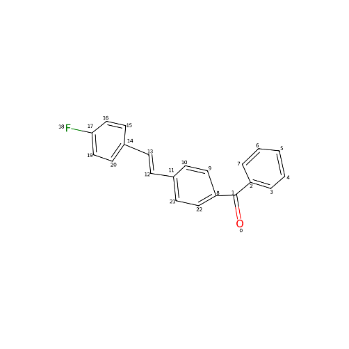 O=C(c1ccccc1)c1ccc(C=Cc2ccc(F)cc2)cc1